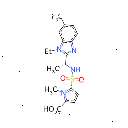 CCn1c([C@@H](C)NS(=O)(=O)c2ccc(C(=O)O)n2C)nc2ccc(C(F)(F)F)cc21